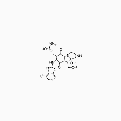 COC12C(CO)C3=C(C(=O)C(C)=C(Nc4nc5c(Cl)cccc5s4)C3=O)N1CC1NC12.NC(=O)O